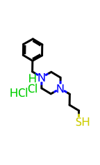 Cl.Cl.SCCCN1CCN(Cc2ccccc2)CC1